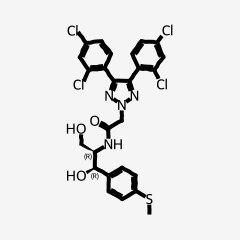 CSc1ccc([C@@H](O)[C@@H](CO)NC(=O)Cn2nc(-c3ccc(Cl)cc3Cl)c(-c3ccc(Cl)cc3Cl)n2)cc1